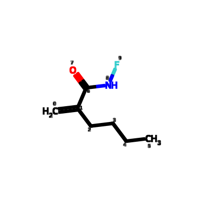 C=C(CCCC)C(=O)NF